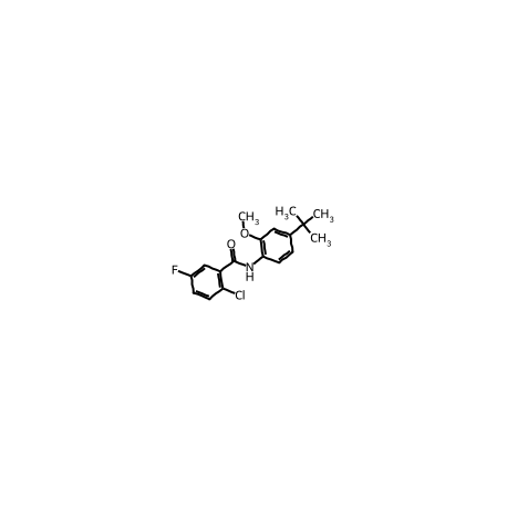 COc1cc(C(C)(C)C)ccc1NC(=O)c1cc(F)ccc1Cl